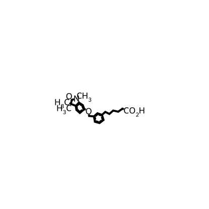 CN1C(=O)C(C)(C)c2ccc(OCc3cccc(CCCCCC(=O)O)c3)cc21